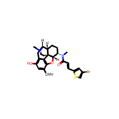 COc1cc(O)c2c3c1O[C@H]1[C@@H](N(C)C(=O)/C=C/c4cc(Br)cs4)CC[C@H]4[C@@H](C2)N(C)CC[C@@]341